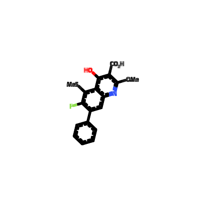 COc1nc2cc(-c3ccccc3)c(F)c(SC)c2c(O)c1C(=O)O